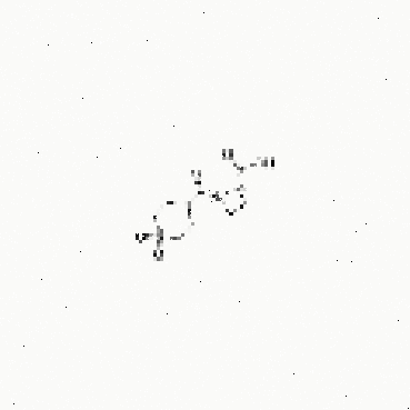 O=C(O)[C@@H]1CCN1C(=O)N1CCS(=O)(=O)CC1